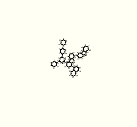 c1ccc(-c2ccc(-c3nc(-c4ccccc4)nc(-c4ccc(-c5cccc6ccccc56)c5oc6c(-c7ccc8sc9ccccc9c8c7)cccc6c45)n3)cc2)cc1